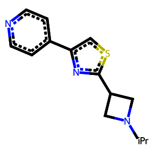 CC(C)N1CC(c2nc(-c3ccncc3)cs2)C1